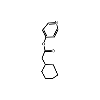 O=C(CC1CCCCC1)Oc1ccncc1